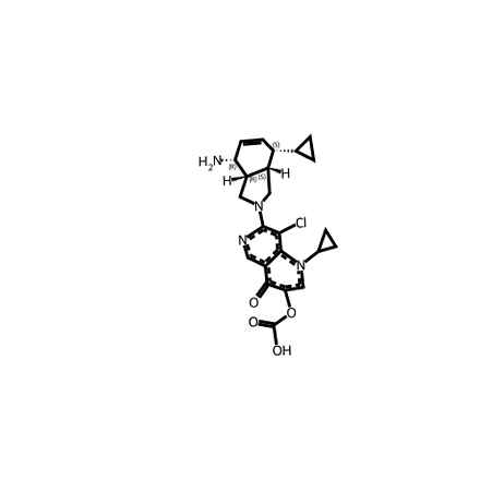 N[C@@H]1C=C[C@H](C2CC2)[C@@H]2CN(c3ncc4c(=O)c(OC(=O)O)cn(C5CC5)c4c3Cl)C[C@@H]21